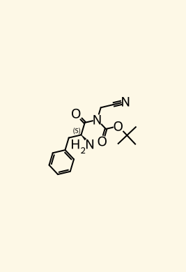 CC(C)(C)OC(=O)N(CC#N)C(=O)[C@@H](N)Cc1ccccc1